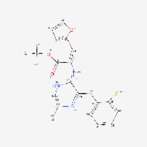 CC(C)(C)OC(=O)C(=C\c1ccco1)/N=c1\[nH]cc(Br)nc1Cc1ccccc1F